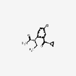 NC(=O)N(CC(F)(F)F)c1ccc(Cl)cc1C(=O)C1CC1